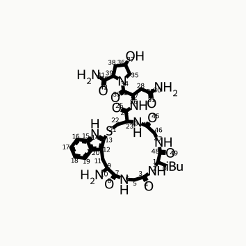 CCC(C)C1NC(=O)CNC(=O)C(N)Cc2c([nH]c3ccccc23)SCC(C(=O)NC(CC(N)=O)C(=O)N2CC(O)CC2C(N)=O)NC(=O)CNC1=O